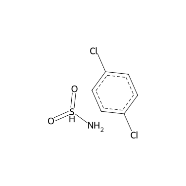 Clc1ccc(Cl)cc1.N[SH](=O)=O